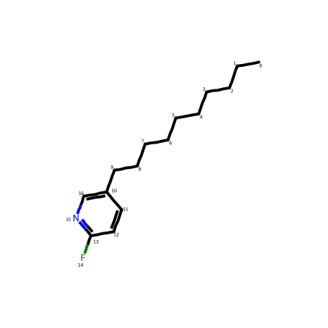 CCCCCCCCCCc1ccc(F)nc1